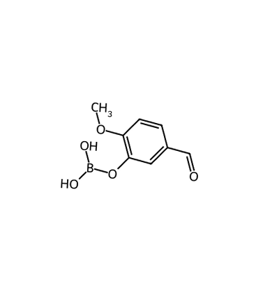 COc1ccc(C=O)cc1OB(O)O